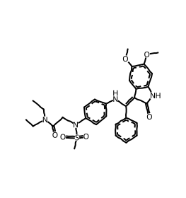 CCN(CC)C(=O)CN(c1ccc(NC(=C2C(=O)Nc3cc(OC)c(OC)cc32)c2ccccc2)cc1)S(C)(=O)=O